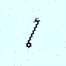 CC(CCCCCCCCCCCCc1ccccc1)C(=O)O